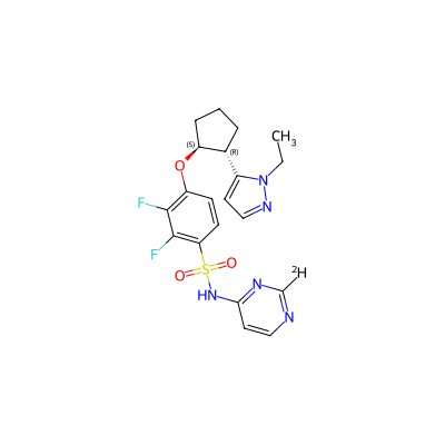 [2H]c1nccc(NS(=O)(=O)c2ccc(O[C@H]3CCC[C@@H]3c3ccnn3CC)c(F)c2F)n1